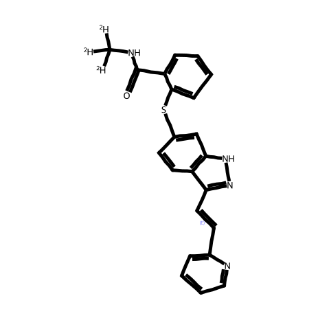 [2H]C([2H])([2H])NC(=O)c1ccccc1Sc1ccc2c(/C=C/c3ccccn3)n[nH]c2c1